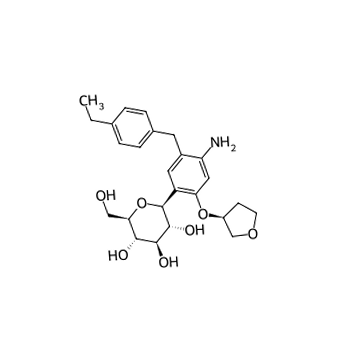 CCc1ccc(Cc2cc([C@@H]3O[C@H](CO)[C@@H](O)[C@H](O)[C@H]3O)c(O[C@H]3CCOC3)cc2N)cc1